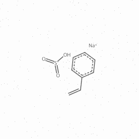 C=Cc1ccccc1.O=[S-](=O)O.[Na+]